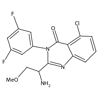 COCC(N)c1nc2cccc(Cl)c2c(=O)n1-c1cc(F)cc(F)c1